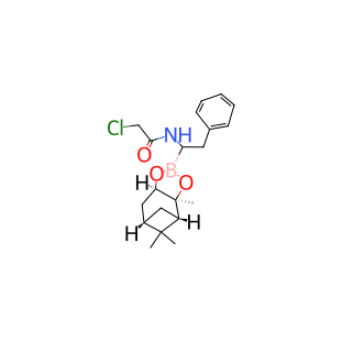 CC1(C)[C@@H]2C[C@H]3OB(C(Cc4ccccc4)NC(=O)CCl)O[C@@]3(C)[C@H]1C2